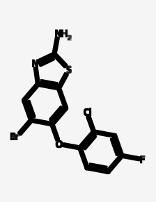 Nc1nc2cc(Br)c(Oc3ccc(F)cc3Cl)cc2s1